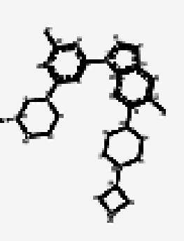 CC[C@@H]1CN(c2cc(-n3ncc4cc(C)c(C5CCN(C6COC6)CC5)cc43)nc(C)n2)CCO1